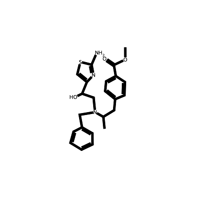 COC(=O)c1ccc(CC(C)N(Cc2ccccc2)CC(O)c2csc(N)n2)cc1